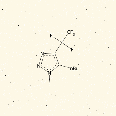 CCCCc1c(C(F)(F)C(F)(F)F)nnn1C